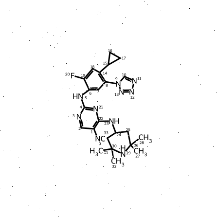 [C-]#[N+]c1cnc(Nc2cc(-n3cnnn3)c(C3CC3)cc2F)nc1NC1CC(C)(C)NC(C)(C)C1